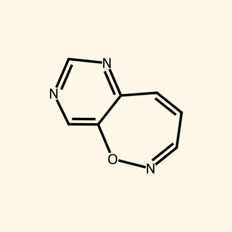 C1=Cc2ncncc2ON=C1